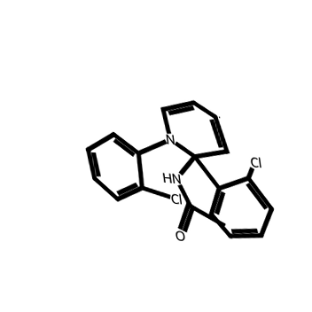 CC(=O)NC1(c2ccccc2Cl)C=[C]C=CN1c1ccccc1Cl